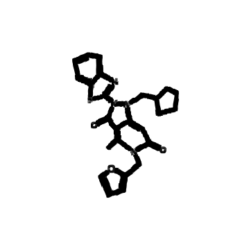 Cc1c2c(=O)n(-c3nc4ccccc4s3)n(CC3CCCC3)c2cc(=O)n1Cc1ccco1